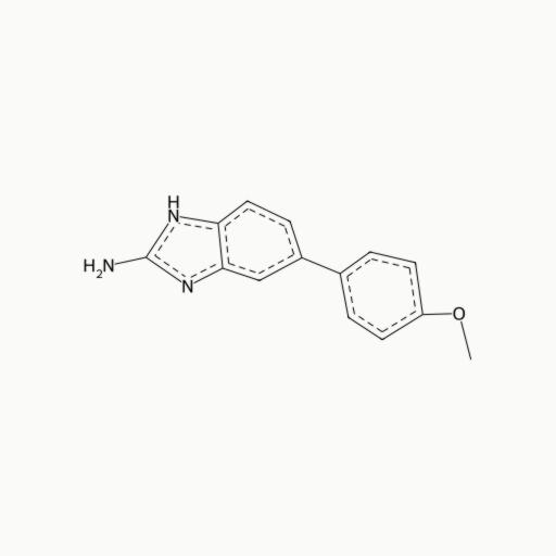 COc1ccc(-c2ccc3[nH]c(N)nc3c2)cc1